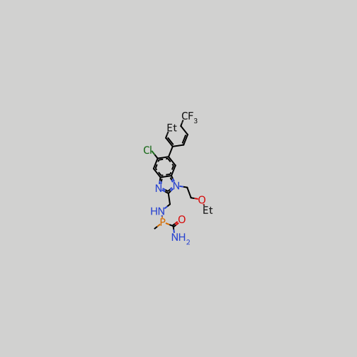 CC/C=C(\C=C/CC(F)(F)F)c1cc2c(cc1Cl)nc(CNP(C)C(N)=O)n2CCOCC